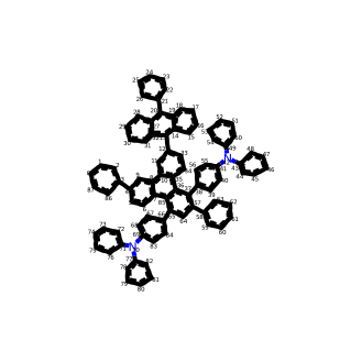 c1ccc(-c2ccc3c(c2)c2cc(-c4c5ccccc5c(-c5ccccc5)c5ccccc45)ccc2c2c(-c4ccc(N(c5ccccc5)c5ccccc5)cc4)c(-c4ccccc4)cc(-c4ccc(N(c5ccccc5)c5ccccc5)cc4)c32)cc1